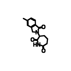 Cc1ccc2c(c1)CN([C@H]1CCCC(=O)NC1=O)C2=O